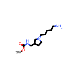 CC(C)(C)OC(=O)NCC1CCN(CCCCCN)C1